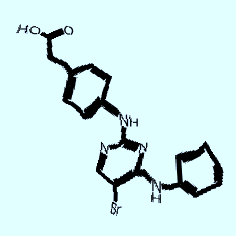 O=C(O)Cc1ccc(Nc2ncc(Br)c(Nc3ccccc3)n2)cc1